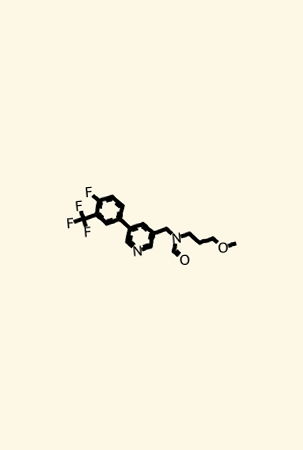 COCCCN(C=O)Cc1cncc(-c2ccc(F)c(C(F)(F)F)c2)c1